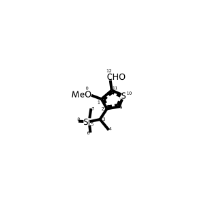 COc1c(C(C)[Si](C)(C)C)csc1C=O